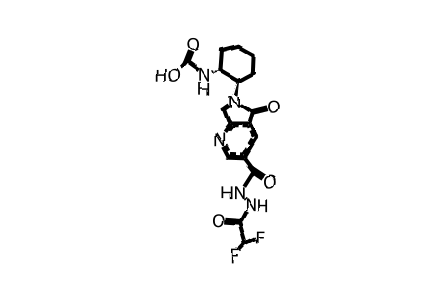 O=C(O)N[C@@H]1CCCC[C@H]1N1Cc2ncc(C(=O)NNC(=O)C(F)F)cc2C1=O